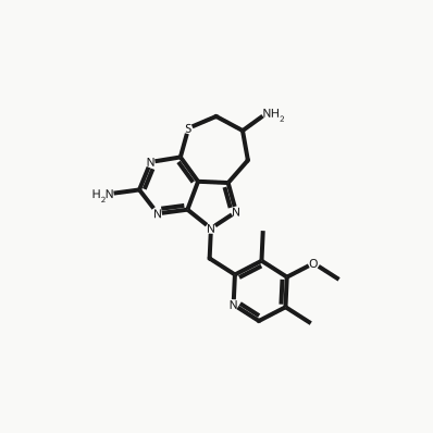 COc1c(C)cnc(Cn2nc3c4c(nc(N)nc42)SCC(N)C3)c1C